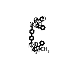 CN(C)[C@@H](C(=O)N1CCC[C@H]1c1ncc(-c2ccc(-c3ccc(-c4cnc([C@@H]5COC(C6CCOCC6)N5C(=O)OCc5ccccc5)[nH]4)cc3)cc2)[nH]1)c1ccccc1